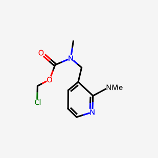 CNc1ncccc1CN(C)C(=O)OCCl